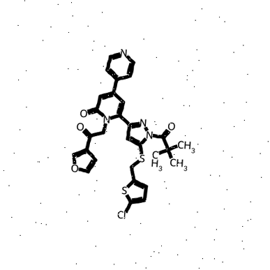 CC(C)(C)C(=O)n1nc(-c2cc(-c3ccncc3)cc(=O)n2CC(=O)c2ccoc2)cc1SCc1ccc(Cl)s1